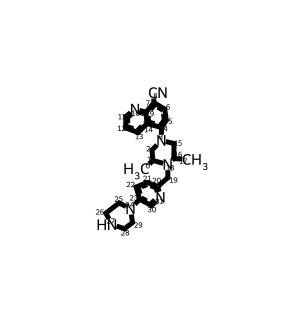 CC1CN(c2ccc(C#N)c3ncccc23)CC(C)N1Cc1ccc(N2CCNCC2)cn1